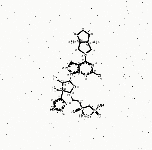 O=P(O)(O)CP(=O)(O)OC[C@H]1O[C@@H](n2ncc3c(N4C[C@H]5CCC[C@H]5C4)nc(Cl)nc32)[C@H](O)[C@@]1(O)c1c[nH]nn1